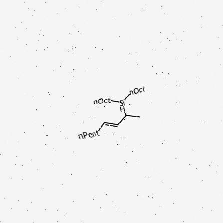 CCCCCC=CC(C)[SiH](CCCCCCCC)CCCCCCCC